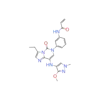 C=CC(=O)Nc1cccc(-n2cc(Nc3cn(C)nc3OC)c3ncc(CC)n3c2=O)c1